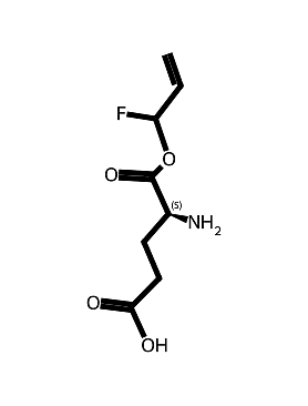 C=CC(F)OC(=O)[C@@H](N)CCC(=O)O